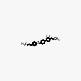 C=CCCc1ccc(OCC2CCC(C3CCC(CCC)C(F)(F)C3)CC2)cc1